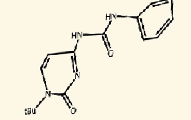 CC(C)(C)n1ccc(NC(=O)Nc2ccccc2)nc1=O